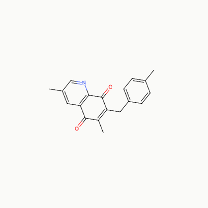 CC1=C(Cc2ccc(C)cc2)C(=O)c2ncc(C)cc2C1=O